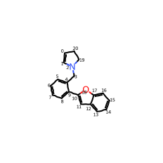 C1=CN(Cc2ccccc2-c2cc3ccccc3o2)CC1